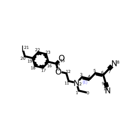 CCN(/C=C/C=C(C#N)C#N)CCOC(=O)c1ccc(CI)cc1